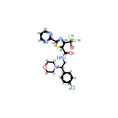 O=C(NCC(c1ccc(Cl)cc1)N1CCOCC1)c1sc(-c2ncccn2)nc1C(F)(F)Br